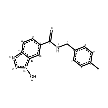 Cc1ccc(CNC(=O)c2ccc3nnn(O)c3c2)cc1